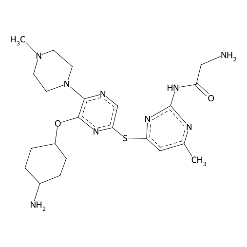 Cc1cc(Sc2cnc(N3CCN(C)CC3)c(OC3CCC(N)CC3)n2)nc(NC(=O)CN)n1